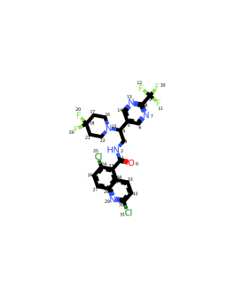 O=C(NCC(c1cnc(C(F)(F)F)nc1)N1CCC(F)(F)CC1)c1c(Cl)ccc2nc(Cl)ccc12